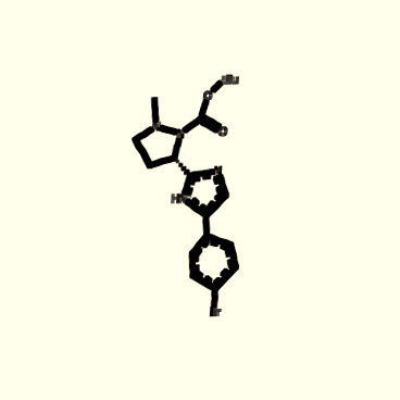 CN1CC[C@@H](c2ncc(-c3ccc(Br)cc3)[nH]2)N1C(=O)OC(C)(C)C